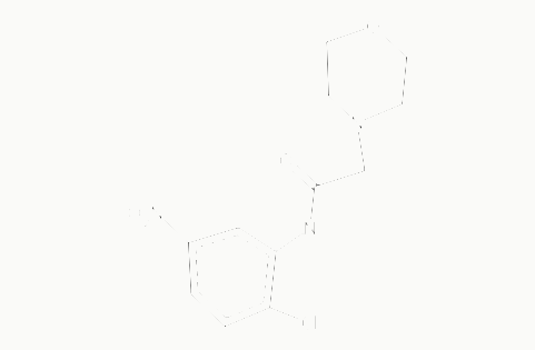 O=C(CN1CCOCC1)Nc1cc([N+](=O)[O-])ccc1Cl